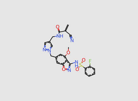 C=C(C#N)C(=O)NCc1cnn(Cc2cc(OC)c3c(NS(=O)(=O)c4ccccc4F)noc3c2)c1